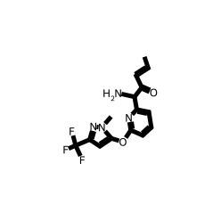 CC=CC(=O)C(N)c1cccc(Oc2cc(C(F)(F)F)nn2C)n1